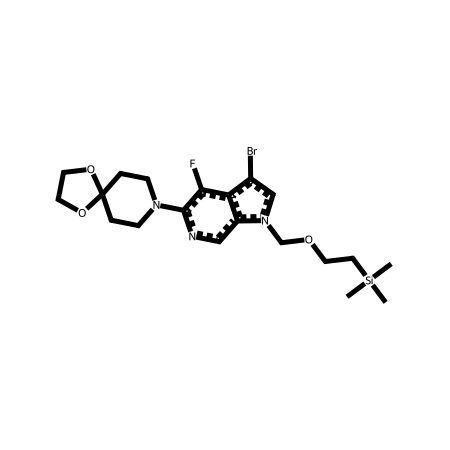 C[Si](C)(C)CCOCn1cc(Br)c2c(F)c(N3CCC4(CC3)OCCO4)ncc21